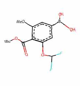 COc1cc(B(O)O)cc(OC(F)F)c1C(=O)OC(C)(C)C